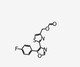 O=COCc1csc(-c2ncoc2-c2ccc(F)cc2)n1